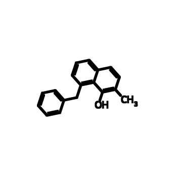 Cc1ccc2cccc(Cc3ccccc3)c2c1O